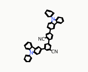 N#Cc1cc(-c2ccc3c(c2)c2ccccc2n3-c2ccccc2)cc(-c2ccc(-c3ccc4c(c3)c3ccccc3n4-c3ccccc3)cc2C#N)c1